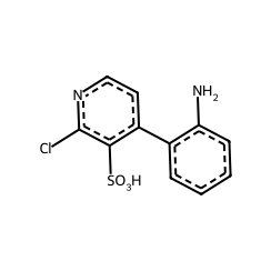 Nc1ccccc1-c1ccnc(Cl)c1S(=O)(=O)O